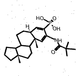 CC(C)(C)C(=O)NC1=C[C@]2(C)C3CC[C@]4(C)CCCC4C3CC[C@H]2C=C1P(=O)(O)O